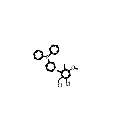 COc1cc(Cl)c(CCl)c(C)c1C.c1ccc(P(c2ccccc2)c2ccccc2)cc1